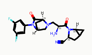 N#C[C@@H]1CC2C[C@@H]2N1C(=O)[C@@H](N)CN1C[C@@H]2C[C@H]1C(=O)N2c1cc(F)cc(F)c1